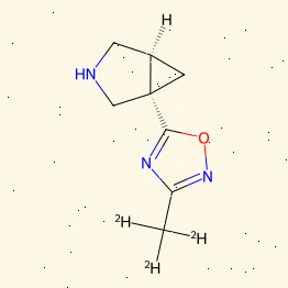 [2H]C([2H])([2H])c1noc([C@]23CNC[C@H]2C3)n1